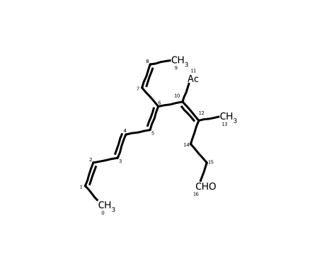 C\C=C/C=C/C=C(\C=C/C)C(/C(C)=O)=C(/C)CCC=O